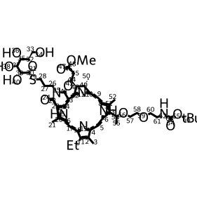 CCC1=C(C)c2cc3[nH]c(cc4nc(c5c6[nH]c(cc1n2)c(C)c6C(=O)N(CCCS[C@@H]1O[C@H](CO)[C@@H](O)[C@H](O)[C@H]1O)C5=O)[C@@H](CCC(=O)OC)[C@@H]4C)c(C)c3C(C)OCCOCCNC(=O)OC(C)(C)C